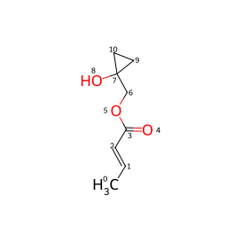 C/C=C/C(=O)OCC1(O)CC1